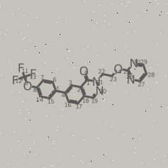 O=c1c2cc(-c3ccc(OC(F)(F)F)cc3)ccc2cnn1CCOc1ncccn1